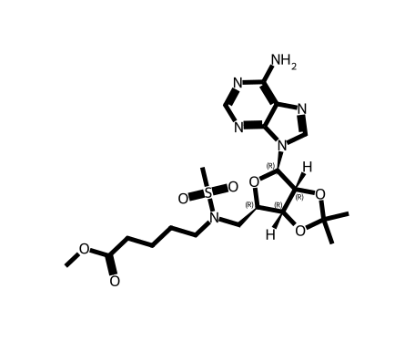 COC(=O)CCCCN(C[C@H]1O[C@@H](n2cnc3c(N)ncnc32)[C@@H]2OC(C)(C)O[C@@H]21)S(C)(=O)=O